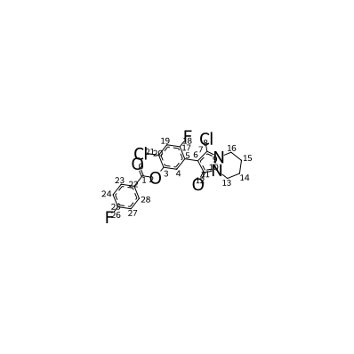 O=C(Oc1cc(-c2c(Cl)n3n(c2=O)CCCC3)c(F)cc1Cl)c1ccc(F)cc1